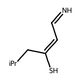 CC(C)C/C(S)=C\C=N